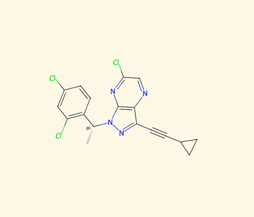 C[C@H](c1ccc(Cl)cc1Cl)n1nc(C#CC2CC2)c2ncc(Cl)nc21